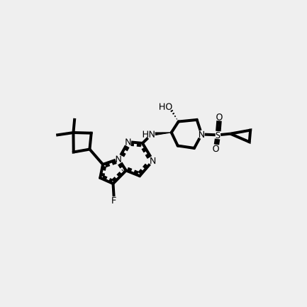 CC1(C)CC(c2cc(F)c3cnc(N[C@@H]4CCN(S(=O)(=O)C5CC5)C[C@H]4O)nn23)C1